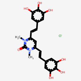 Cn1c(C=Cc2cc(O)c(O)c(O)c2)cc(C=Cc2cc(O)c(O)c(O)c2)[n+](C)c1=O.[Cl-]